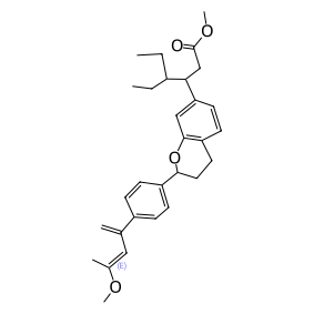 C=C(/C=C(\C)OC)c1ccc(C2CCc3ccc(C(CC(=O)OC)C(CC)CC)cc3O2)cc1